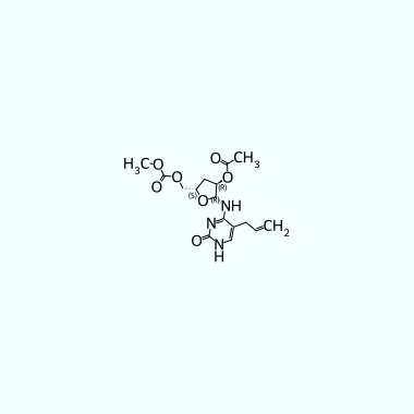 C=CCc1c[nH]c(=O)nc1N[C@@H]1O[C@H](COC(=O)OC)C[C@H]1OC(C)=O